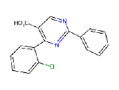 O=C(O)c1cnc(-c2ccccc2)nc1-c1ccccc1Cl